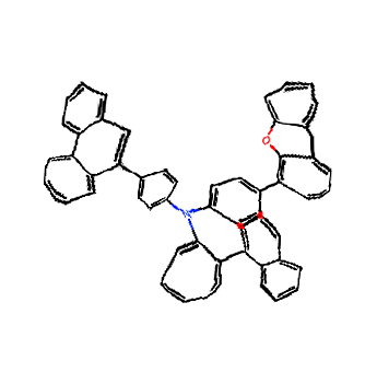 c1ccc(N(c2ccc(-c3cc4ccccc4c4ccccc34)cc2)c2ccc(-c3cccc4c3oc3ccccc34)cc2)c(-c2cccc3ccccc23)c1